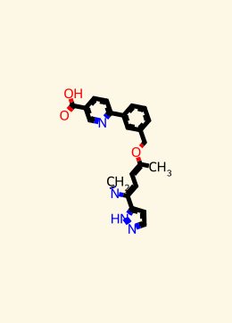 C=N/C(=C\C=C(/C)OCc1cccc(-c2ccc(C(=O)O)cn2)c1)c1ccn[nH]1